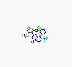 C[C@@H]1COC[C@@H](C)N1c1cc(=O)n2c(n1)N(c1ccnc(Cl)c1)[C@H](C(F)(F)F)CC2